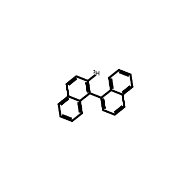 [2H]c1ccc2ccccc2c1-c1cccc2ccccc12